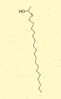 CCCCCCCCCCCCCCCCCCSC(C)O